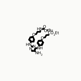 CCOC(=O)CCCOc1ccc(Nc2nc(Nc3ccc(OCCCNC(=O)OC(C)(C)C)cc3)ncc2N)cc1